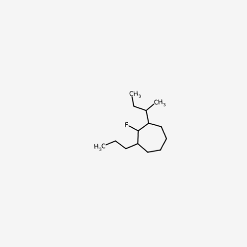 CCCC1CCCCC(C(C)CC)C1F